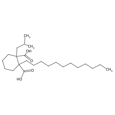 CCCCCCCCCCCCC1(C(=O)O)CCCCC1(CC(C)C)C(=O)O